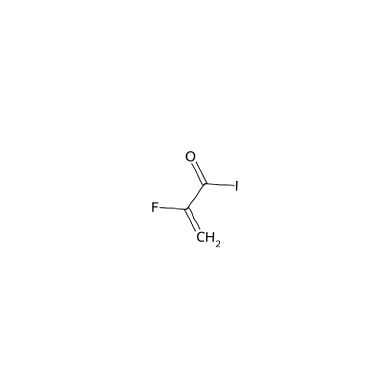 C=C(F)C(=O)I